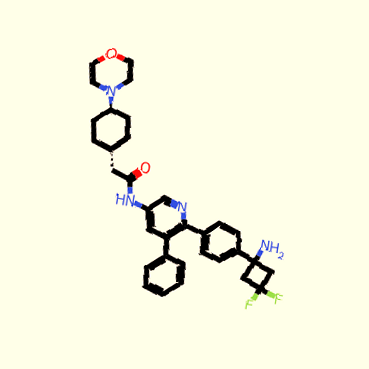 NC1(c2ccc(-c3ncc(NC(=O)C[C@H]4CC[C@H](N5CCOCC5)CC4)cc3-c3ccccc3)cc2)CC(F)(F)C1